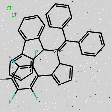 Fc1c(F)c(F)c(C2=CC=C[CH]2[Zr+2](=[C](c2ccccc2)c2ccccc2)[CH]2c3ccccc3-c3ccccc32)c(F)c1F.[Cl-].[Cl-]